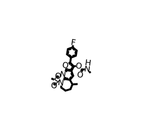 CNC(=O)Oc1c(-c2ccc(F)cc2)oc2nc3c(cc12)C(C)CCCN3S(C)(=O)=O